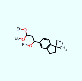 CCOC(CC(OCC)c1ccc2c(c1)CCC2(C)C)OCC